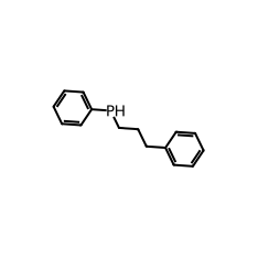 c1ccc(CCCPc2ccccc2)cc1